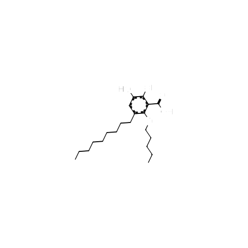 CCCCCCCCCc1cc(O)c(O)c(C(=O)O)c1OCCCCC